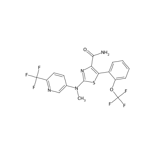 CN(c1ccc(C(F)(F)F)nc1)c1nc(C(N)=O)c(-c2ccccc2OC(F)(F)F)s1